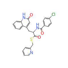 O=C(NC(Cc1cc(=O)[nH]c2ccccc12)C(=O)SCc1ccccn1)c1ccc(Cl)cc1